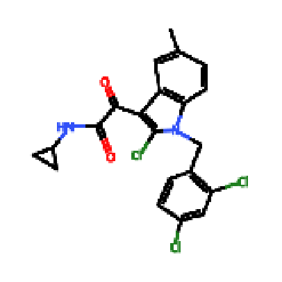 Cc1ccc2c(c1)c(C(=O)C(=O)NC1CC1)c(Cl)n2Cc1ccc(Cl)cc1Cl